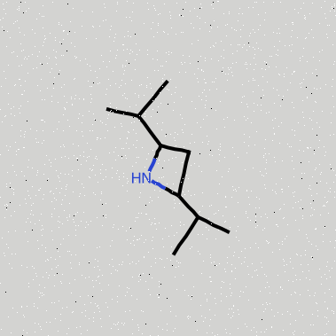 CC(C)C1CC(C(C)C)N1